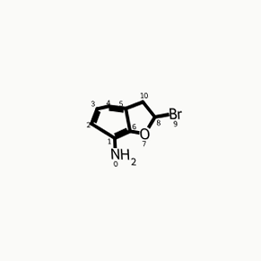 Nc1cccc2c1OC(Br)C2